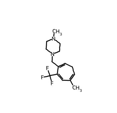 CC1=CCC=C(CN2CCN(C)CC2)C(C(F)(F)F)=C1